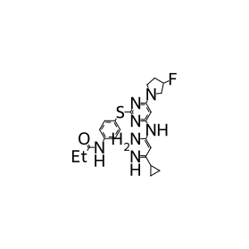 CCC(=O)Nc1ccc(Sc2nc(N/C(N)=C/C(=N)C3CC3)cc(N3CCC(F)C3)n2)cc1